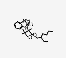 CCCCC(CC)COC(=O)C(C)(N1NNc2ccccc21)C(C)(C)C